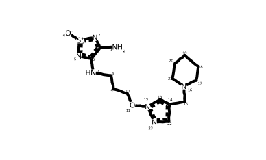 Nc1n[s+]([O-])nc1NCCCOn1cc(CN2CCCCC2)cn1